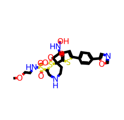 COCCNS(=O)(=O)C1CNCCC(CC(=O)NO)(c2ccc(-c3ccc(-c4cnco4)cc3)s2)S1(=O)=O